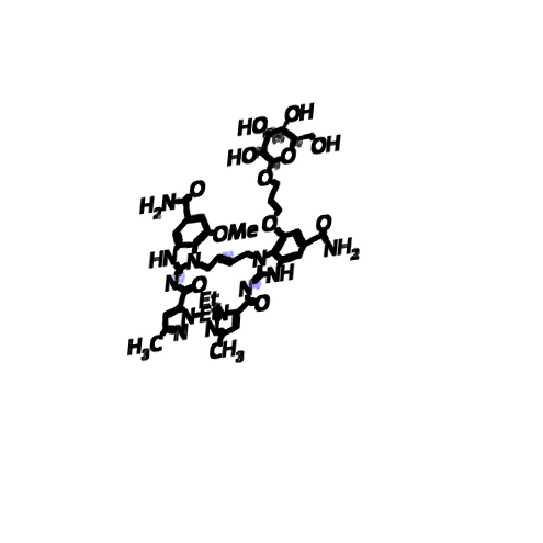 CCn1nc(C)cc1C(=O)/N=c1/[nH]c2cc(C(N)=O)cc(OC)c2n1C/C=C/Cn1/c(=N/C(=O)c2cc(C)nn2CC)[nH]c2cc(C(N)=O)cc(OCCCO[C@@H]3O[C@H](CO)[C@@H](O)[C@H](O)[C@H]3O)c21